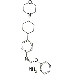 N/C(=N/c1ccc(C2CCC(N3CCOCC3)CC2)cc1)Oc1ccccc1